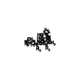 Cc1ncsc1-c1ccc(C(C)NC(=O)C2CC(O)CN2C(=O)C(c2cc(N3CCCCC3)no2)C(C)C)cc1